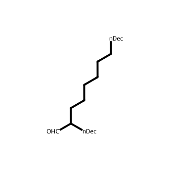 CCCCCCCCCCCCCCCCC(C=O)CCCCCCCCCC